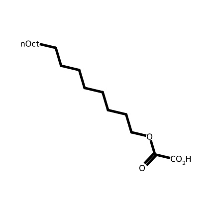 CCCCCCCCCCCCCCCCOC(=O)C(=O)O